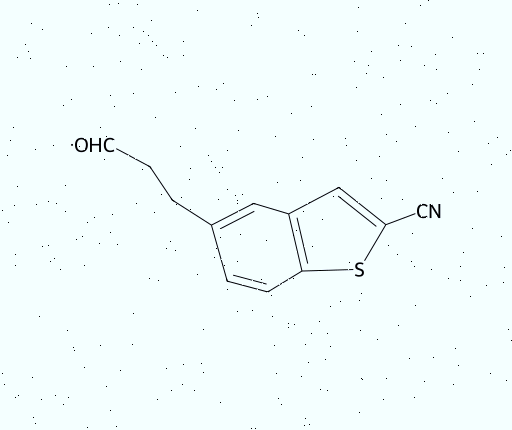 N#Cc1cc2cc(CC[C]=O)ccc2s1